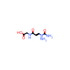 NC(=O)N(N)C=CC(=O)NCC(=O)O